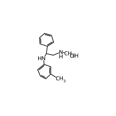 CNCC(Nc1cccc(C)c1)c1ccccc1.Cl